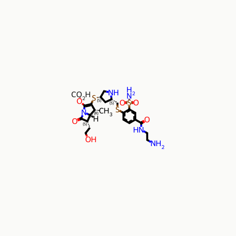 C[C@H]1C(S[C@@H]2CN[C@H](CSc3ccc(C(=O)NCCN)cc3S(N)(=O)=O)C2)=C(OC(=O)O)N2C(=O)[C@@H](CCO)[C@@H]12